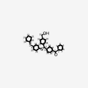 O=C(c1ccccc1)c1ccc(C(Sc2ccc(Sc3ccccc3)cc2)c2ccc(CO)cc2)cc1